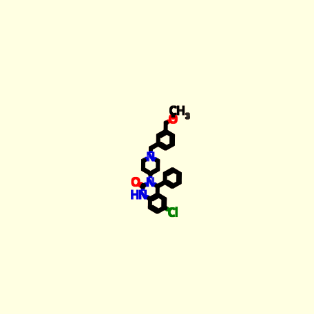 COCc1cccc(CN2CCC(N3C(=O)Nc4ccc(Cl)cc4C3c3ccccc3)CC2)c1